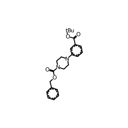 CC(C)(C)OC(=O)c1cccc(N2CCN(C(=O)OCc3ccccc3)CC2)c1